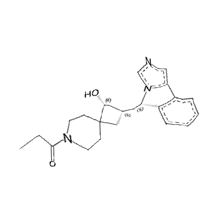 CCC(=O)N1CCC2(CC1)C[C@@H]([C@H]1c3ccccc3-c3cncn31)[C@H]2O